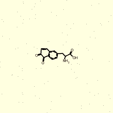 NC(Cc1ccc2c(c1)C=CC(=O)C2=O)C(=O)O